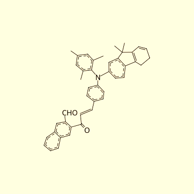 Cc1cc(C)c(N(c2ccc(C=CC(=O)c3cc4ccccc4cc3C=O)cc2)c2ccc3c(c2)C(C)(C)C2=C3CCC=C2)c(C)c1